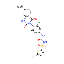 CNc1ccc2c(=O)n(-c3c(F)cc(NC(=O)NS(=O)(=O)c4ccc(Cl)s4)cc3Cl)c(=O)[nH]c2c1